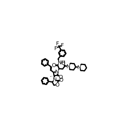 C[C@@]1(N2C(=O)OCC2c2ccccc2)C(=O)N(C(CC(=O)N2CCC(N3CCCCC3)CC2)C(=O)NCc2cccc(C(F)(F)F)c2)C1/C=C/c1ccccc1